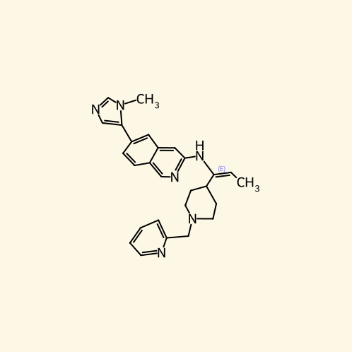 C/C=C(/Nc1cc2cc(-c3cncn3C)ccc2cn1)C1CCN(Cc2ccccn2)CC1